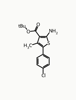 Cc1c(-c2ccc(Cl)cc2)sc(N)c1C(=O)OC(C)(C)C